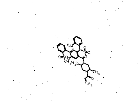 C=CC(=O)N1CC(C)N(C2=NS(=O)(=O)N(c3ccccc3C(C)(C)C)c3nc(-c4ccccc4S(C)(=O)=O)c(Cl)cc32)CC1C